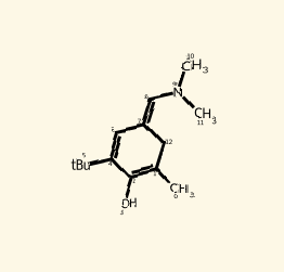 CC1=C(O)C(C(C)(C)C)=CC(=CN(C)C)C1